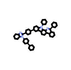 c1ccc(-c2ccc(-n3c(-c4ccc(-c5ccc6c(c5)c5ccc7c8ccccc8c(-c8ccccc8)nc7c5n6-c5ccccc5)cc4)nc4ccccc43)cc2)cc1